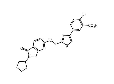 O=C(O)c1cc(-c2csc(COc3ccc4c(c3)CN(C3CCCC3)C4=O)c2)ccc1Cl